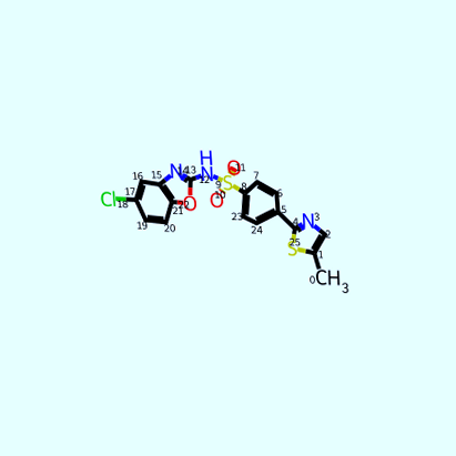 Cc1cnc(-c2ccc(S(=O)(=O)Nc3nc4cc(Cl)ccc4o3)cc2)s1